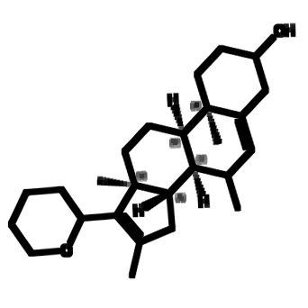 CC1=C(C2CCCCO2)[C@@]2(C)CC[C@@H]3[C@@H](C(C)C=C4CC(O)CC[C@@]43C)[C@@H]2C1